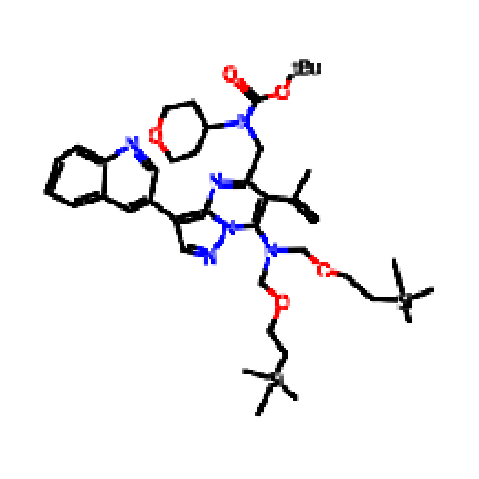 C=C(C)c1c(CN(C(=O)OC(C)(C)C)C2CCOCC2)nc2c(-c3cnc4ccccc4c3)cnn2c1N(COCC[Si](C)(C)C)COCC[Si](C)(C)C